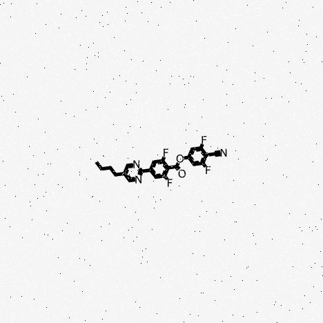 CCCCc1cnc(-c2cc(F)c(C(=O)Oc3cc(F)c(C#N)c(F)c3)c(F)c2)nc1